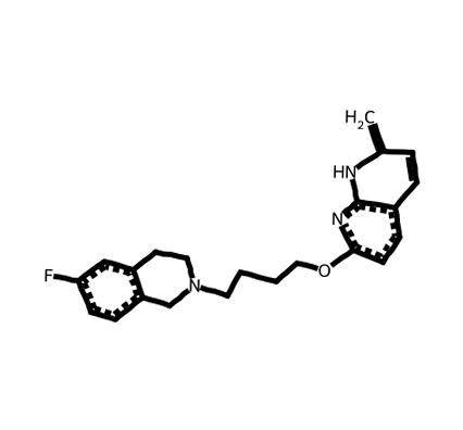 C=C1C=Cc2ccc(OCCCCN3CCc4cc(F)ccc4C3)nc2N1